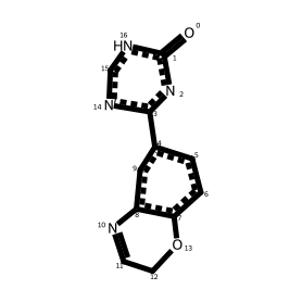 O=c1nc(-c2ccc3c(c2)N=CCO3)nc[nH]1